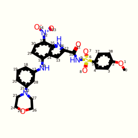 COc1ccc(S(=O)(=O)NC(=O)c2cc3c(Nc4cccc(N5CCOCC5)c4)ccc([N+](=O)[O-])c3[nH]2)cc1